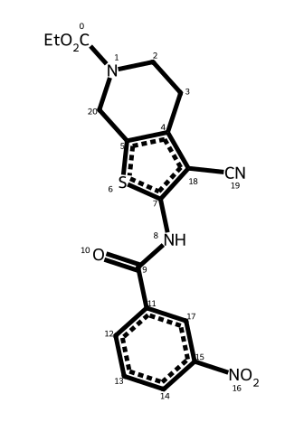 CCOC(=O)N1CCc2c(sc(NC(=O)c3cccc([N+](=O)[O-])c3)c2C#N)C1